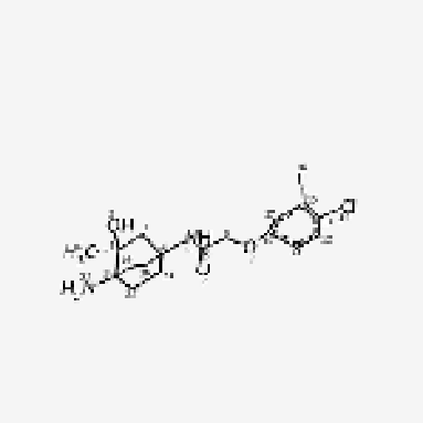 C[C@]1(O)CC2(NC(=O)COc3ccc(Cl)c(F)c3)CCC1(N)CC2